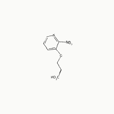 O=C(O)CCOc1cccnc1[N+](=O)[O-]